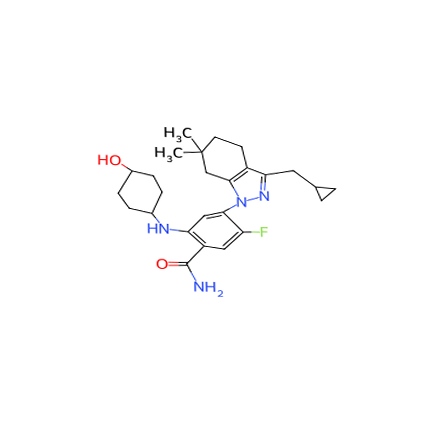 CC1(C)CCc2c(CC3CC3)nn(-c3cc(NC4CCC(O)CC4)c(C(N)=O)cc3F)c2C1